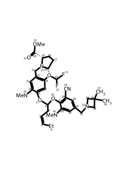 CC/C=C\CC(Oc1cc(OC(F)F)c(CN2CCC[C@H]2C(=O)OC)cc1NC)Oc1c(C#N)cc(CN2CC(C)(C)C2)cc1NC